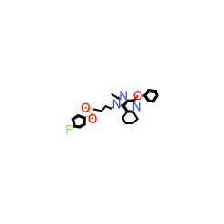 Cc1nc2c(Oc3ccccc3)nc3c(c2n1CCCCS(=O)(=O)c1ccc(F)cc1)CCCC3